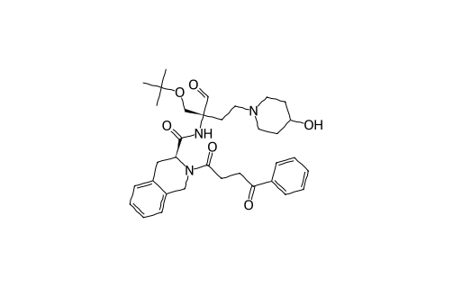 CC(C)(C)OC[C@@](C=O)(CCN1CCC(O)CC1)NC(=O)[C@@H]1Cc2ccccc2CN1C(=O)CCC(=O)c1ccccc1